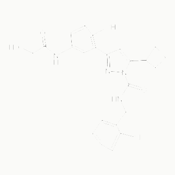 CCC(=O)Nc1ccc(O)c(-c2cc(C3CCC3)n(C(=O)NCc3ccccc3Cl)n2)c1